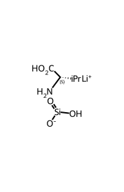 CC(C)[C@H](N)C(=O)O.O=[Si]([O-])O.[Li+]